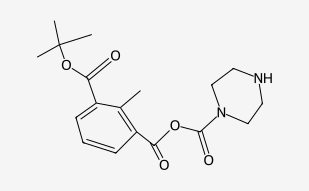 Cc1c(C(=O)OC(=O)N2CCNCC2)cccc1C(=O)OC(C)(C)C